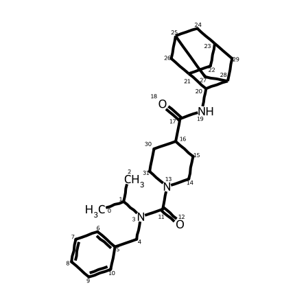 CC(C)N(Cc1ccccc1)C(=O)N1CCC(C(=O)NC2C3CC4CC(C3)CC2C4)CC1